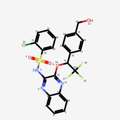 O=S(=O)(Nc1nc2ccccc2nc1OC(c1ccc(CO)cc1)C(F)(F)F)c1ccccc1Cl